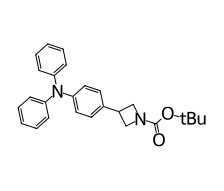 CC(C)(C)OC(=O)N1CC(c2ccc(N(c3ccccc3)c3ccccc3)cc2)C1